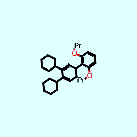 CC(C)Oc1cccc(OC(C)C)c1C1[C]=C(C2CCCCC2)C(C2CCCCC2)=CC1